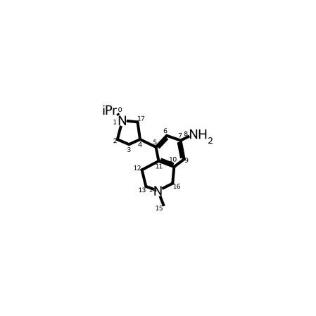 CC(C)N1CCC(c2cc(N)cc3c2CCN(C)C3)C1